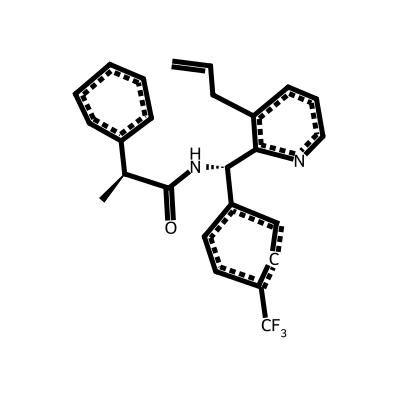 C=CCc1cccnc1[C@@H](NC(=O)[C@@H](C)c1ccccc1)c1ccc(C(F)(F)F)cc1